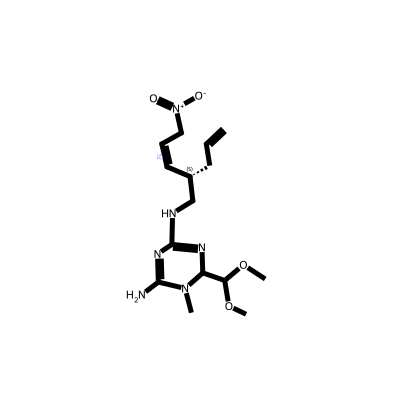 C=CC[C@@H](/C=C\C[N+](=O)[O-])CNC1=NC(C(OC)OC)N(C)C(N)=N1